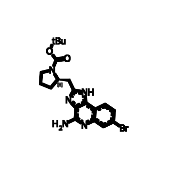 CC(C)(C)OC(=O)N1CCC[C@@H]1Cc1nc2c(N)nc3cc(Br)ccc3c2[nH]1